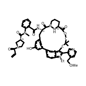 C=CC(=O)N1CC[C@H](C(=O)N(C)c2ccccc2C(=O)N[C@H]2Cc3cc(O)cc(c3)-c3ccc4c(c3)c(c(-c3cnccc3COC)n4CC)CC(C)(C)COC(=O)[C@@H]3CCCN(N3)C2=O)C1